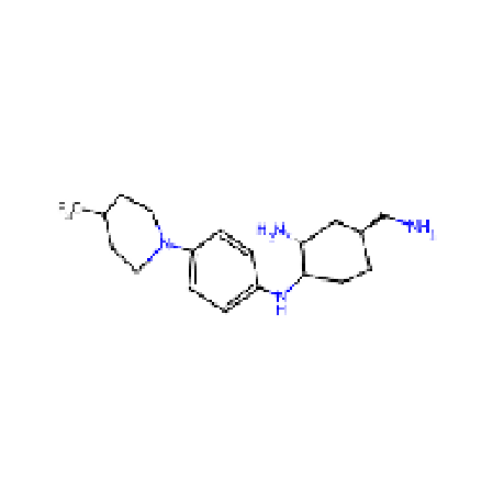 NC[C@H]1CCC(Nc2ccc(N3CCC(C(F)(F)F)CC3)cc2)[C@H](N)C1